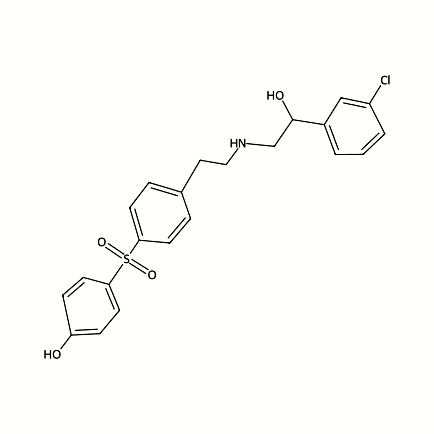 O=S(=O)(c1ccc(O)cc1)c1ccc(CCNCC(O)c2cccc(Cl)c2)cc1